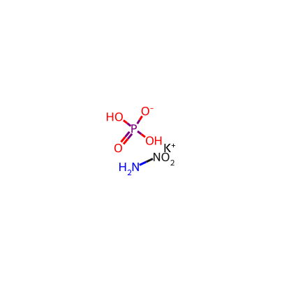 N[N+](=O)[O-].O=P([O-])(O)O.[K+]